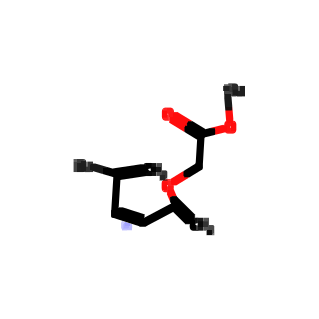 C=C(/C=C\C(=C)C(C)CC)OCC(=O)OC(C)(C)C